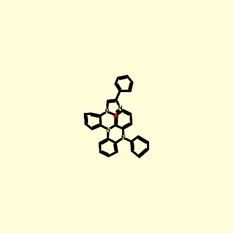 c1ccc(-c2cn(-c3ccccc3N3c4ccccc4N(c4ccccc4)c4ccccc43)nn2)cc1